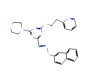 C(=NNc1ccc2ccccc2c1)c1nc(OCCc2ccccn2)nc(N2CCOCC2)n1